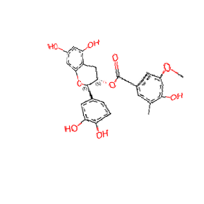 COc1cc(C(=O)O[C@H]2Cc3c(O)cc(O)cc3O[C@@H]2c2ccc(O)c(O)c2)cc(C)c1O